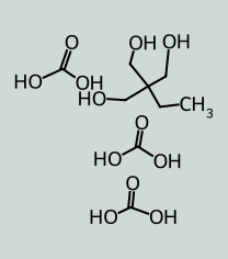 CCC(CO)(CO)CO.O=C(O)O.O=C(O)O.O=C(O)O